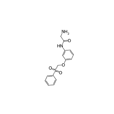 NCC(=O)Nc1cccc(OCS(=O)(=O)c2ccccc2)c1